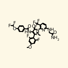 COc1cc(F)c(-c2c(NC(=O)c3ccc(OC(F)F)cc3)c(=O)n(-c3nc(NCC(N)=O)ccc3C(F)(F)F)n2C)c(F)c1